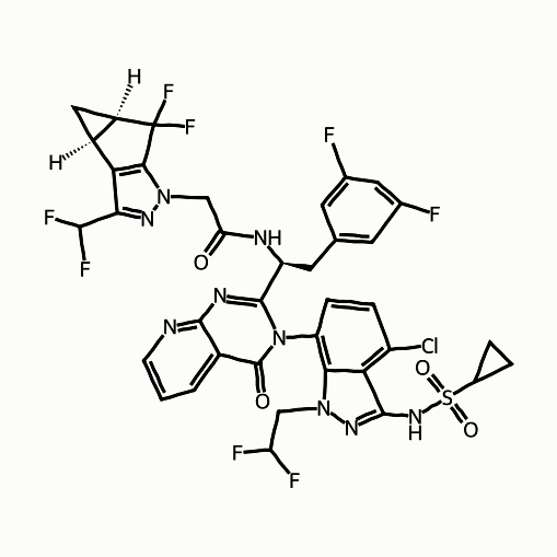 O=C(Cn1nc(C(F)F)c2c1C(F)(F)[C@@H]1C[C@H]21)N[C@@H](Cc1cc(F)cc(F)c1)c1nc2ncccc2c(=O)n1-c1ccc(Cl)c2c(NS(=O)(=O)C3CC3)nn(CC(F)F)c12